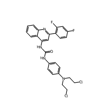 O=C(Nc1ccc(N(CCCl)CCCl)cc1)Nc1cc(-c2ccc(F)cc2F)nc2ccccc12